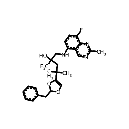 Cc1ncc2c(NCC(O)(CC(C)(C)C3=COC(Cc4ccccc4)O3)C(F)(F)F)ccc(F)c2n1